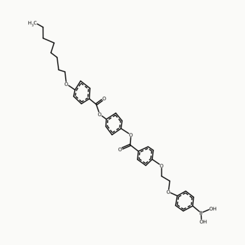 CCCCCCCCOc1ccc(C(=O)Oc2ccc(OC(=O)c3ccc(OCCOc4ccc(B(O)O)cc4)cc3)cc2)cc1